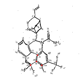 C=CC1CN2CCC1CC2C(c1ccnc2ccc(OC)cc12)N(C(N)=S)c1cc(C(F)(F)F)cc(C(F)(F)F)c1